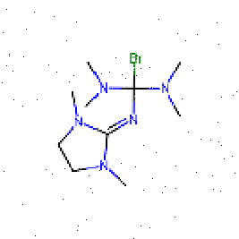 CN1CCN(C)C1=NC(Br)(N(C)C)N(C)C